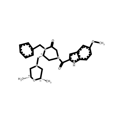 COc1ccc2[nH]c(C(=O)N3CC(=O)N(Cc4ccccc4)[C@@H](CN4C[C@@H](C)O[C@@H](C)C4)C3)cc2c1